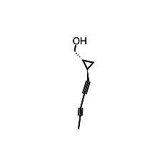 CC#CC#C[C@@H]1C[C@H]1CO